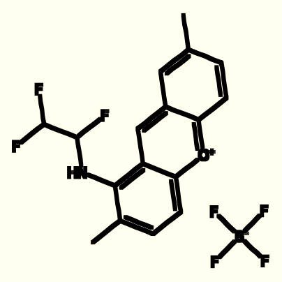 Cc1ccc2[o+]c3ccc(C)c(NC(F)C(F)F)c3cc2c1.F[B-](F)(F)F